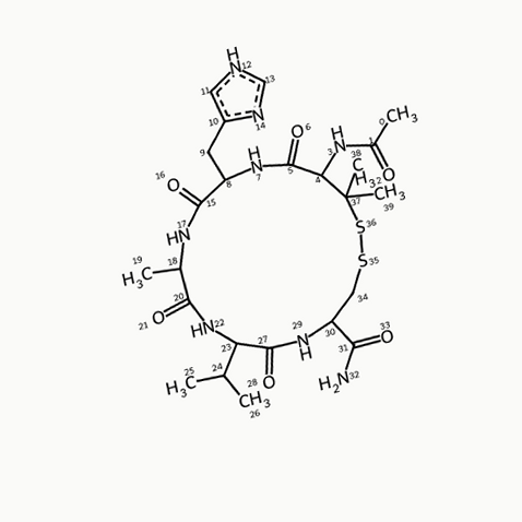 CC(=O)NC1C(=O)NC(Cc2c[nH]cn2)C(=O)NC(C)C(=O)NC(C(C)C)C(=O)NC(C(N)=O)CSSC1(C)C